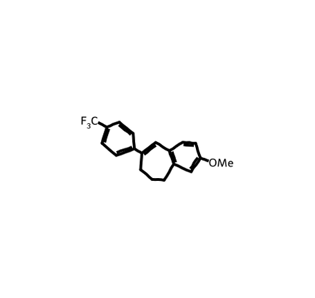 COc1ccc2c(c1)CCCC(c1ccc(C(F)(F)F)cc1)=C2